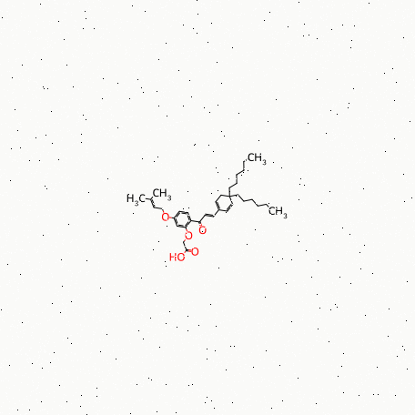 CCCCCCC1(CCCCCC)C=CC(C=CC(=O)c2ccc(OCC=C(C)C)cc2OCC(=O)O)=CC1